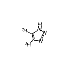 [3H]c1nn[nH]c1[3H]